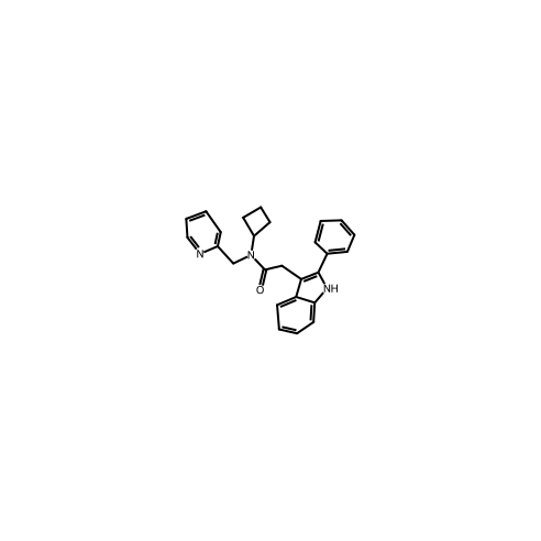 O=C(Cc1c(-c2ccccc2)[nH]c2ccccc12)N(Cc1ccccn1)C1CCC1